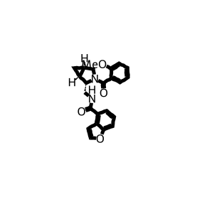 COc1ccccc1C(=O)N1C[C@@H]2C[C@@H]2[C@H]1CNC(=O)c1cccc2occc12